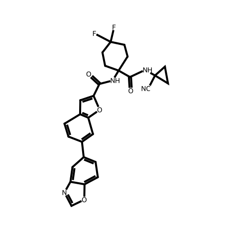 N#CC1(NC(=O)C2(NC(=O)c3cc4ccc(-c5ccc6ocnc6c5)cc4o3)CCC(F)(F)CC2)CC1